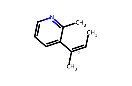 C/C=C(/C)c1cccnc1C